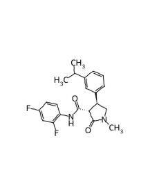 CC(C)c1cccc([C@H]2CN(C)C(=O)[C@@H]2C(=O)Nc2ccc(F)cc2F)c1